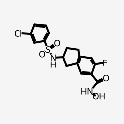 O=C(NO)c1cc2c(cc1F)CCC(NS(=O)(=O)c1cccc(Cl)c1)C2